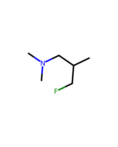 CC(CF)CN(C)C